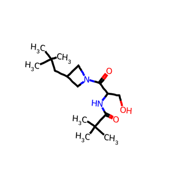 CC(C)(C)CC1CN(C(=O)C(CO)NC(=O)C(C)(C)C)C1